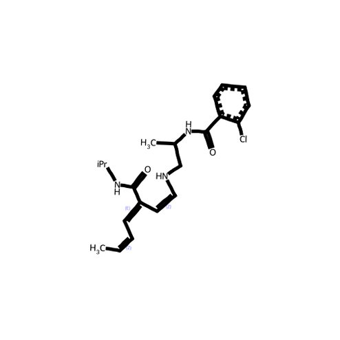 C\C=C/C=C(\C=C/NCC(C)NC(=O)c1ccccc1Cl)C(=O)NC(C)C